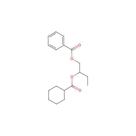 CCC(COC(=O)c1ccccc1)OC(=O)C1CCCCC1